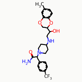 Cc1ccc2c(c1)OCC(C(O)CNC1CCN(C(C(N)=O)c3ccc(C(F)(F)F)cc3)CC1)O2